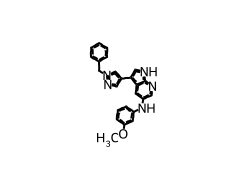 COc1cccc(Nc2cnc3[nH]cc(-c4cnn(Cc5ccccc5)c4)c3c2)c1